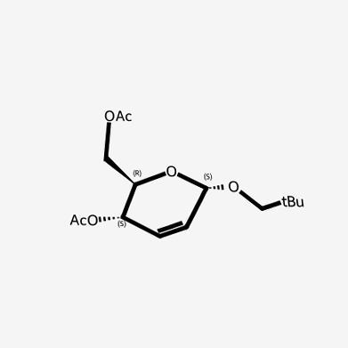 CC(=O)OC[C@H]1O[C@H](OCC(C)(C)C)C=C[C@@H]1OC(C)=O